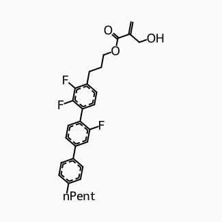 C=C(CO)C(=O)OCCCc1ccc(-c2ccc(-c3ccc(CCCCC)cc3)cc2F)c(F)c1F